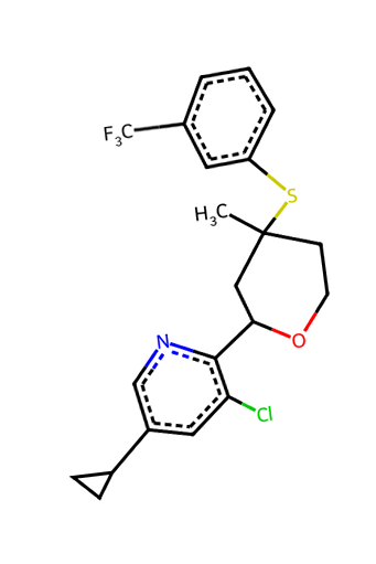 CC1(Sc2cccc(C(F)(F)F)c2)CCOC(c2ncc(C3CC3)cc2Cl)C1